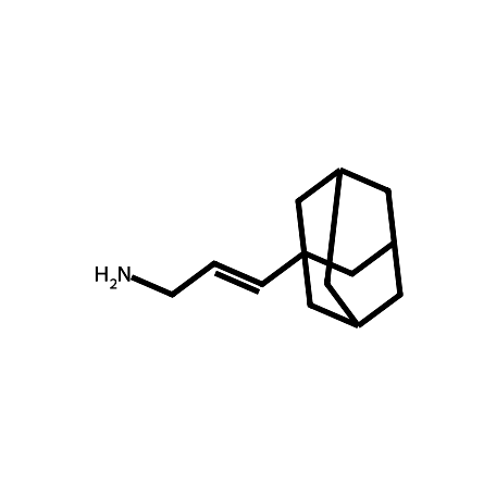 NCC=CC12CC3CC(CC(C3)C1)C2